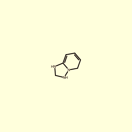 C1=CCN2NCNC2=C1